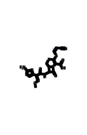 CON=C(C(=O)NC1C(=O)N2C(C(=O)O)=C(S/C=C\C#N)SCC12)c1csc(N)n1